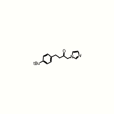 CC(C)(C)c1ccc(CCC(=O)Cn2ccnc2)cc1